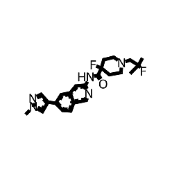 Cn1cc(-c2ccc3cnc(NC(=O)C4(F)CCN(CC(C)(C)F)CC4)cc3c2)cn1